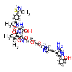 Cc1ncsc1-c1ccc([C@H](C)NC(=O)[C@@H]2C[C@@H](O)CN2C(=O)[C@@H](c2cc(OCCOCCOCCn3cc(C#Cc4cc(-c5ccccc5O)nnc4N)cn3)no2)C(C)C)cc1